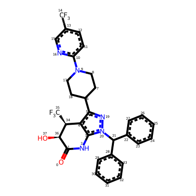 O=C1Nc2c(c(C3CCN(c4ccc(C(F)(F)F)cn4)CC3)nn2C(c2ccccc2)c2ccccc2)[C@H](C(F)(F)F)[C@@H]1O